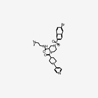 CN(C)CCNC(=O)C1CN(S(=O)(=O)c2ccc3cc(Br)ccc3c2)CCN1C(=O)C1CCN(c2ccncc2)CC1